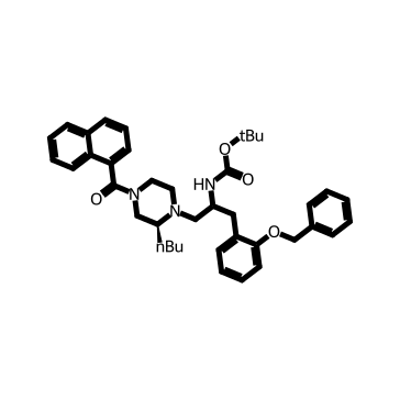 CCCC[C@H]1CN(C(=O)c2cccc3ccccc23)CCN1CC(Cc1ccccc1OCc1ccccc1)NC(=O)OC(C)(C)C